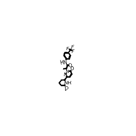 COC1CCCC(c2ccc(=O)n(C(C)C(=O)Nc3ccc(C(F)(F)F)cc3)n2)N1